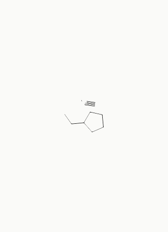 C#N.CCC1CCCC1